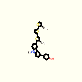 CCn1c2ccc(-c3ccc(O)cc3)cc2c2cc(-c3sc(-c4ccc(-c5sccc5C)s4)cc3C)ccc21